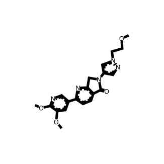 COCCn1cc(N2Cc3nc(-c4cnc(OC)c(OC)c4)ccc3C2=O)cn1